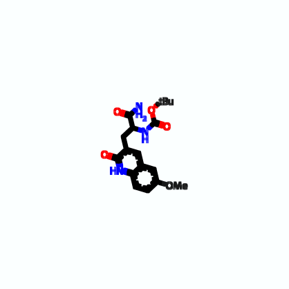 COc1ccc2[nH]c(=O)c(CC(NC(=O)OC(C)(C)C)C(N)=O)cc2c1